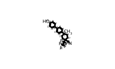 CC1(c2ccc(-c3ccc(O)cc3)cc2)CCC(C#N)(C(F)(F)C(F)(F)F)CC1